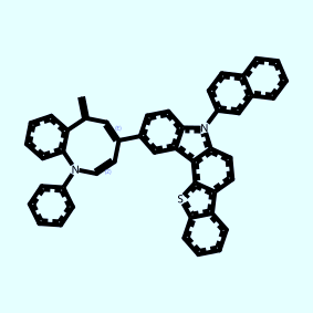 C=C1/C=C(c2ccc3c(c2)c2c4sc5ccccc5c4ccc2n3-c2ccc3ccccc3c2)\C=C/N(c2ccccc2)c2ccccc21